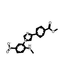 CNc1ccc([N+](=O)[O-])cc1-n1cnc(-c2ccc(C(=O)OC)cc2)c1